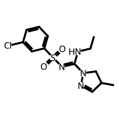 CCN/C(=N\S(=O)(=O)c1cccc(Cl)c1)N1CC(C)C=N1